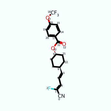 N#CC(F)=CC=C[C@H]1CC[C@H](OC(=O)c2ccc(OC(F)(F)F)cc2)CC1